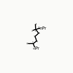 CCCC(C)(C)CCCC(C)C(C)C